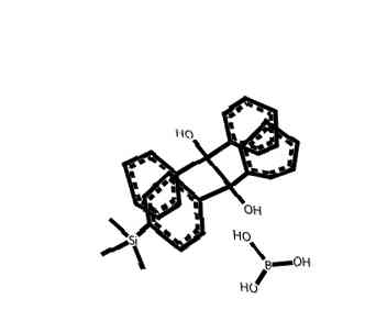 C[Si](C)(C)c1ccc(C(O)(c2ccccc2)C(O)(c2ccccc2)c2ccccc2)cc1.OB(O)O